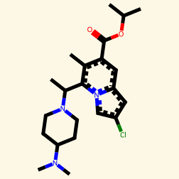 Cc1c(C(=O)OC(C)C)cc2cc(Cl)cn2c1C(C)N1CCC(N(C)C)CC1